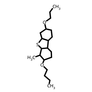 CCCCOC1CCC2C3CCC(OCCC)CC3SC2C1C